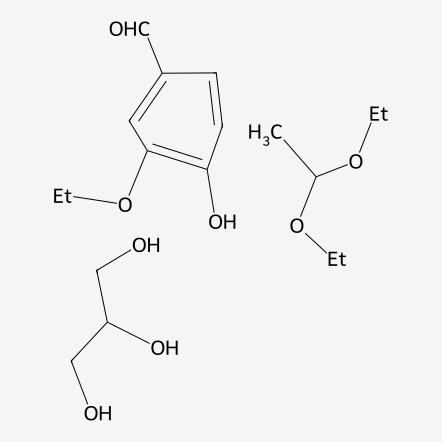 CCOC(C)OCC.CCOc1cc(C=O)ccc1O.OCC(O)CO